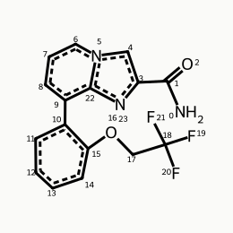 NC(=O)c1cn2cccc(-c3ccccc3OCC(F)(F)F)c2n1